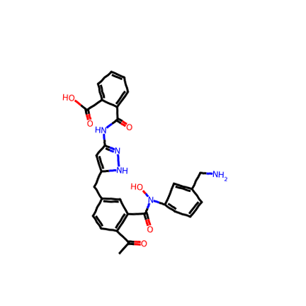 CC(=O)c1ccc(Cc2cc(NC(=O)c3ccccc3C(=O)O)n[nH]2)cc1C(=O)N(O)c1cccc(CN)c1